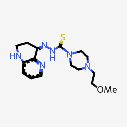 COCCN1CCN(C(=S)N/N=C2/CCNc3cccnc32)CC1